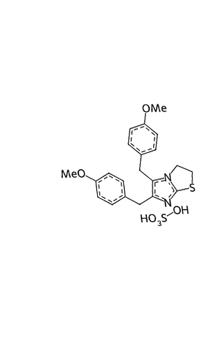 COc1ccc(Cc2nc3n(c2Cc2ccc(OC)cc2)CCS3)cc1.O=S(=O)(O)O